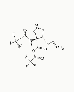 C=CC[C@H]1CNC[C@@]1(NC(=O)C(F)(F)F)C(=O)OC(=O)C(F)(F)F